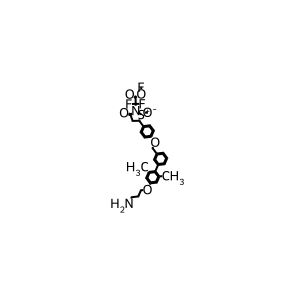 Cc1cc(OCCCN)cc(C)c1-c1cccc(COc2ccc(C3CC(=O)N(C(F)(F)C(=O)OF)[S+]3[O-])cc2)c1